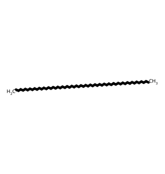 C=CCCCCCCCCCCCCCCCCCCCCCCCCCCCCCCCCCCCCCCCCCCCCCCCCCCCCCCCCCC